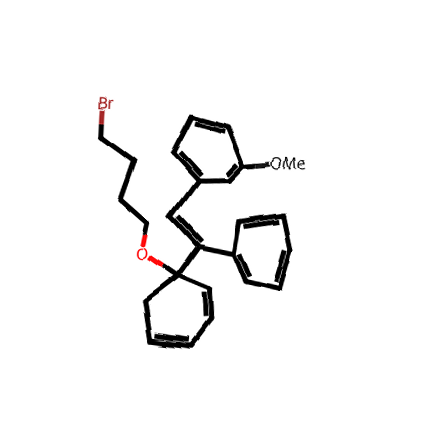 COc1cccc(C=C(c2ccccc2)C2(OCCCCBr)C=CC=CC2)c1